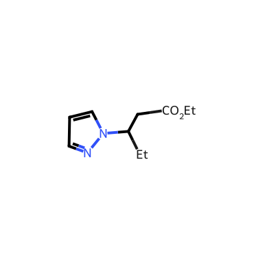 CCOC(=O)CC(CC)n1cccn1